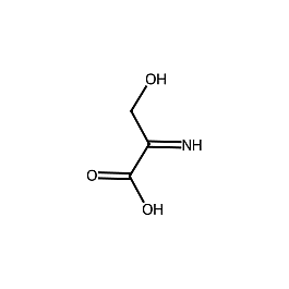 N=C(CO)C(=O)O